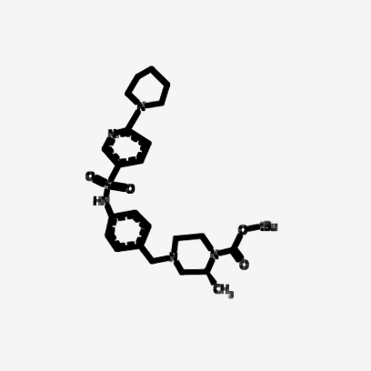 C[C@H]1CN(Cc2ccc(NS(=O)(=O)c3ccc(N4CCCCC4)nc3)cc2)CCN1C(=O)OC(C)(C)C